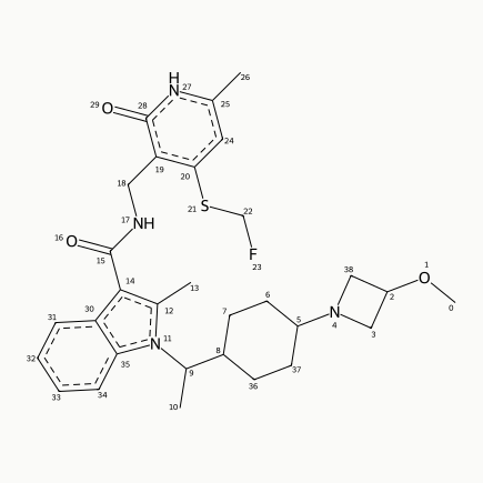 COC1CN(C2CCC(C(C)n3c(C)c(C(=O)NCc4c(SCF)cc(C)[nH]c4=O)c4ccccc43)CC2)C1